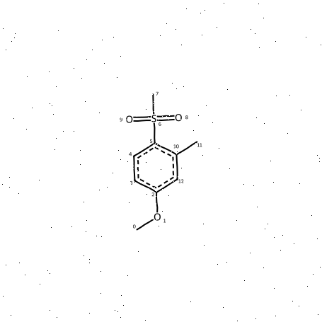 COc1ccc(S(C)(=O)=O)c(C)c1